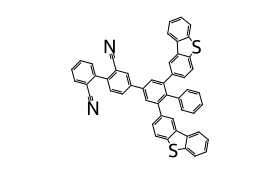 N#Cc1ccccc1-c1ccc(-c2cc(-c3ccc4sc5ccccc5c4c3)c(-c3ccccc3)c(-c3ccc4sc5ccccc5c4c3)c2)cc1C#N